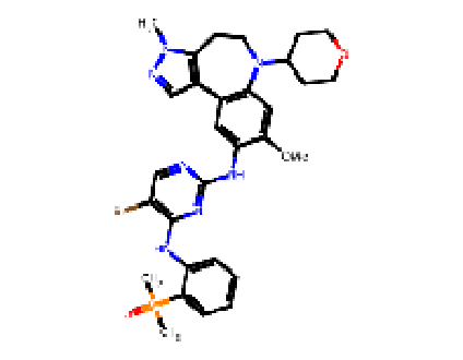 COc1cc2c(cc1Nc1ncc(Br)c(Nc3ccccc3P(C)(C)=O)n1)-c1cnn(C)c1CCN2C1CCOCC1